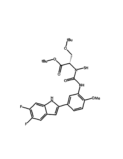 COc1ccc(-c2cc3cc(F)c(F)cc3[nH]2)cc1NC(=O)N(S)[C@@H](COC(C)(C)C)C(=O)OC(C)(C)C